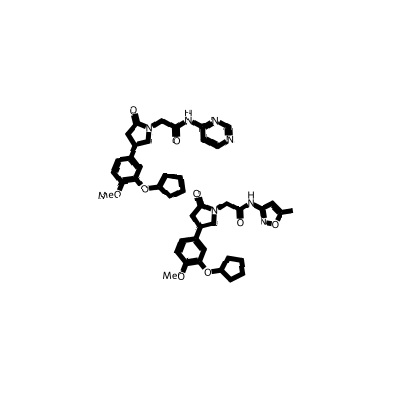 COc1ccc(C2CC(=O)N(CC(=O)Nc3cc(C)on3)C2)cc1OC1CCCC1.COc1ccc(C2CC(=O)N(CC(=O)Nc3ccncn3)C2)cc1OC1CCCC1